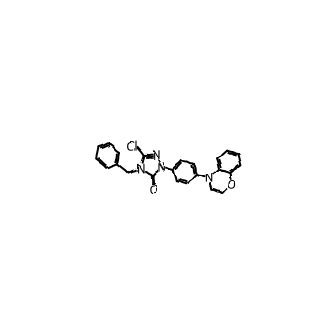 O=c1n(-c2ccc(N3CCOc4ccccc43)cc2)nc(Cl)n1Cc1ccccc1